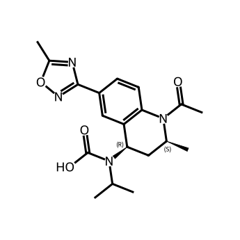 CC(=O)N1c2ccc(-c3noc(C)n3)cc2[C@H](N(C(=O)O)C(C)C)C[C@@H]1C